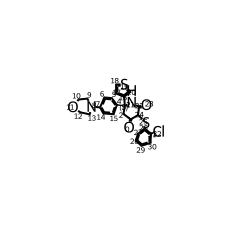 O=C1C[C@](c2ccc(N3CCOCC3)cc2)(c2ccsc2)NC(=O)C1Sc1ccccc1Cl